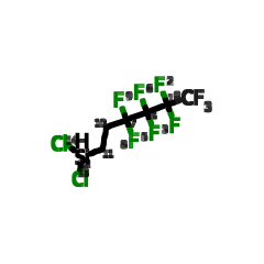 FC(F)(F)C(F)(F)C(F)(F)C(F)(F)CC[SiH](Cl)Cl